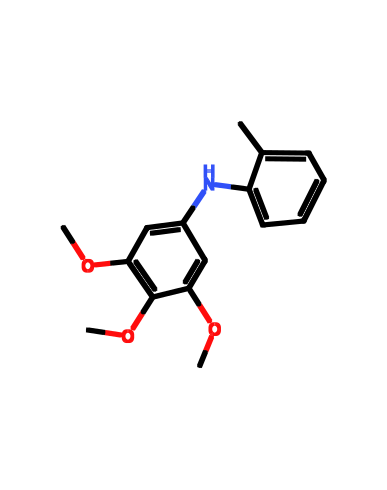 COc1cc(Nc2ccccc2C)cc(OC)c1OC